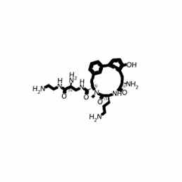 CN1C(=O)[C@H](CCCN)NC(=O)[C@@H](N)Cc2cc(ccc2O)-c2cccc(c2)C[C@H]1C(=O)NC[C@H](N)C(=O)NCCN